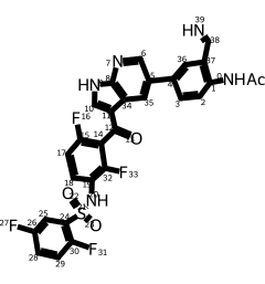 CC(=O)Nc1ccc(-c2cnc3[nH]cc(C(=O)c4c(F)ccc(NS(=O)(=O)c5cc(F)ccc5F)c4F)c3c2)cc1C=N